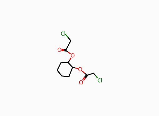 O=C(CCl)OC1CCCCC1OC(=O)CCl